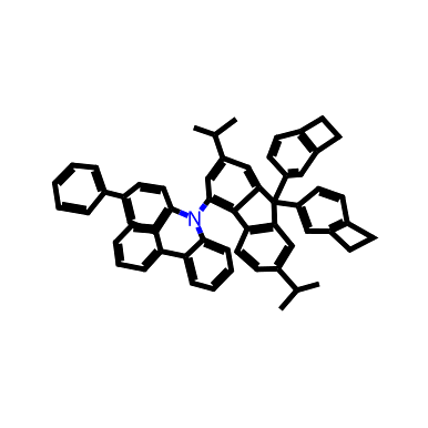 CC(C)c1ccc2c(c1)C(c1ccc3c(c1)CC3)(c1ccc3c(c1)CC3)c1cc(C(C)C)cc(N(c3ccc(-c4ccccc4)cc3)c3ccccc3-c3ccccc3)c1-2